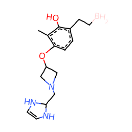 BCCc1ccc(OC2CN(CC3NC=CN3)C2)c(C)c1O